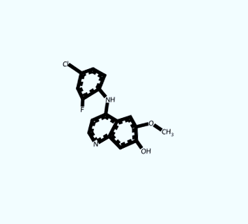 COc1cc2c(Nc3ccc(Cl)cc3F)ccnc2cc1O